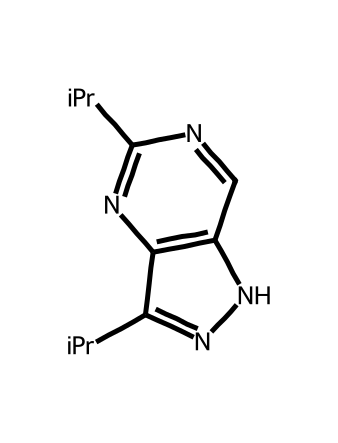 CC(C)c1ncc2[nH]nc(C(C)C)c2n1